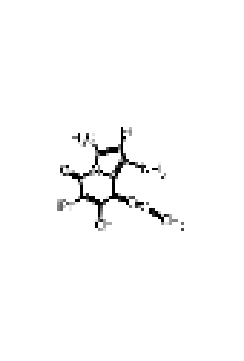 C=C=C=c1c(C)c(C(C)C)c(=O)n2c(C)c(CC)c(N)c12